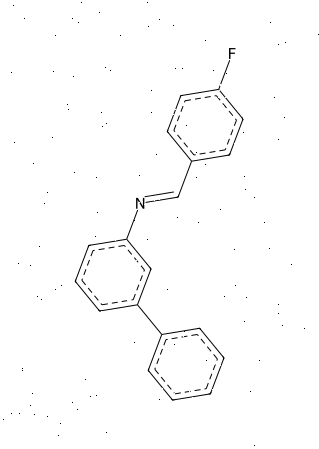 Fc1ccc(/C=N/c2cccc(-c3ccccc3)c2)cc1